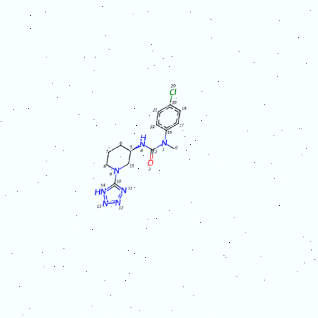 CN(C(=O)N[C@@H]1CCCN(c2nnn[nH]2)C1)c1ccc(Cl)cc1